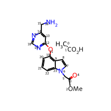 CC(=O)O.COC(=O)Cn1ccc2c(Oc3cc(CN)ncn3)cccc21